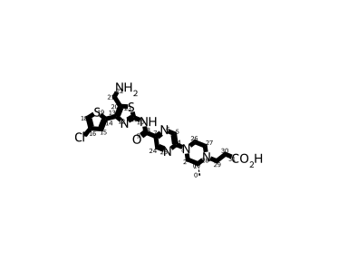 C[C@@H]1CN(c2cnc(C(=O)Nc3nc(-c4cc(Cl)cs4)c(CN)s3)cn2)CCN1CCC(=O)O